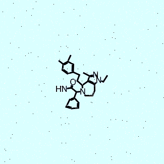 CCn1nc(C)c2c1CCCN(C(C(=O)NC)c1ccccc1)C2CCc1ccc(C)c(C)c1